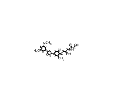 CCc1cc(-c2nc(-c3cc(C)c(OC[C@@H](O)CNC(=O)CO)c(Cl)c3)no2)cc(C)n1